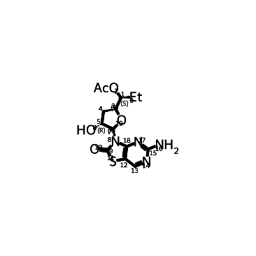 CC[C@H](OC(C)=O)[C@@H]1C[C@@H](O)[C@H](n2c(=O)sc3cnc(N)nc32)O1